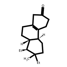 CC[C@H]1[C@@H]2CCC3=C(CCC(=O)C3)[C@H]2CCC1(C)CC